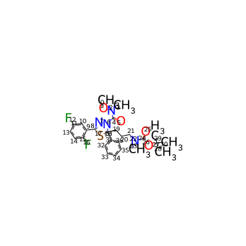 CON(C)C(=O)N1N=C(c2cc(F)ccc2F)S[C@@]1(CCCN(C)C(=O)OC(C)(C)C)c1ccccc1